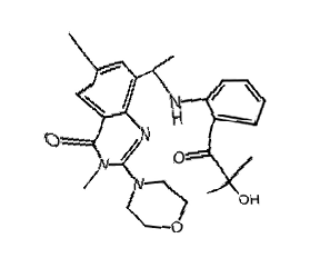 Cc1cc(C(C)Nc2ccccc2C(=O)C(C)(C)O)c2nc(N3CCOCC3)n(C)c(=O)c2c1